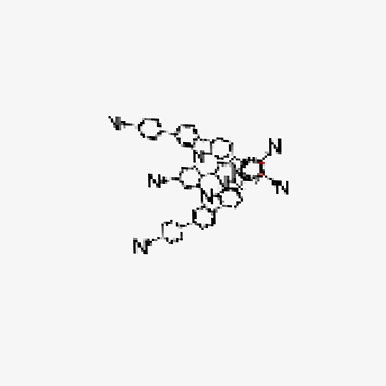 Cc1cc(-c2c(-n3c4cc(-c5ccc(C#N)cc5)ccc4c4ccc(-c5ccc(C#N)cc5)cc43)cc(C#N)cc2-n2c3cc(-c4ccc(C#N)cc4)ccc3c3ccc(-c4ccc(C#N)cc4)cc32)nc(C)n1